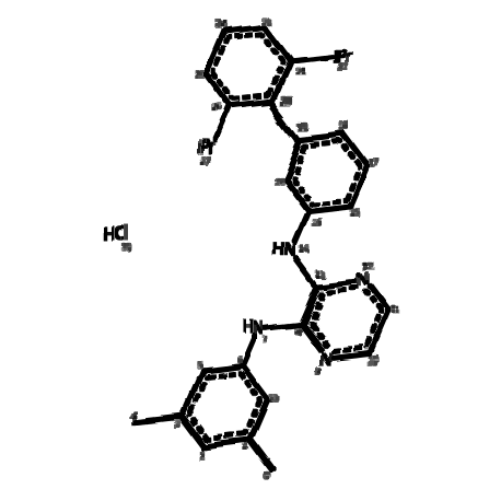 Cc1cc(C)cc(Nc2nccnc2Nc2cccc(-c3c(C(C)C)cccc3C(C)C)c2)c1.Cl